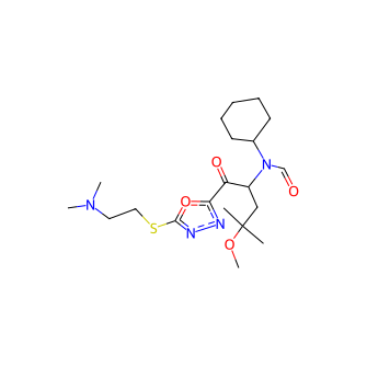 COC(C)(C)CC(C(=O)c1nnc(SCCN(C)C)o1)N(C=O)C1CCCCC1